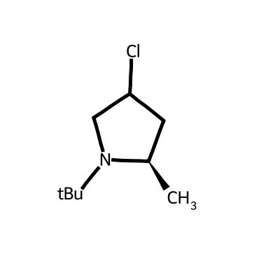 C[C@@H]1CC(Cl)CN1C(C)(C)C